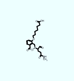 CNC(=O)CCC(C=O)N(C)Cc1c(C=O)cccc1OCCCCCCC(=O)O